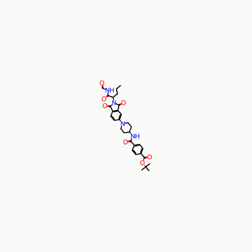 CCCC(C(=O)NC=O)N1C(=O)c2ccc(N3CCC(NC(=O)c4ccc(C(=O)OC(C)(C)C)cc4)CC3)cc2C1=O